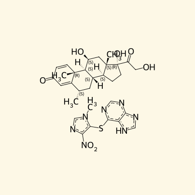 C[C@H]1C[C@@H]2[C@H]([C@@H](O)C[C@@]3(C)[C@H]2CC[C@]3(O)C(=O)CO)[C@@]2(C)C=CC(=O)C=C12.Cn1cnc([N+](=O)[O-])c1Sc1ncnc2nc[nH]c12